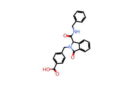 O=C(O)c1ccc(CN2C(=O)c3ccccc3C2C(=O)NCc2ccccc2)cc1